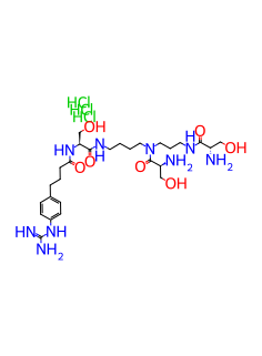 Cl.Cl.Cl.N=C(N)Nc1ccc(CCCC(=O)N[C@@H](CO)C(=O)NCCCCN(CCCNC(=O)[C@@H](N)CO)C(=O)[C@@H](N)CO)cc1